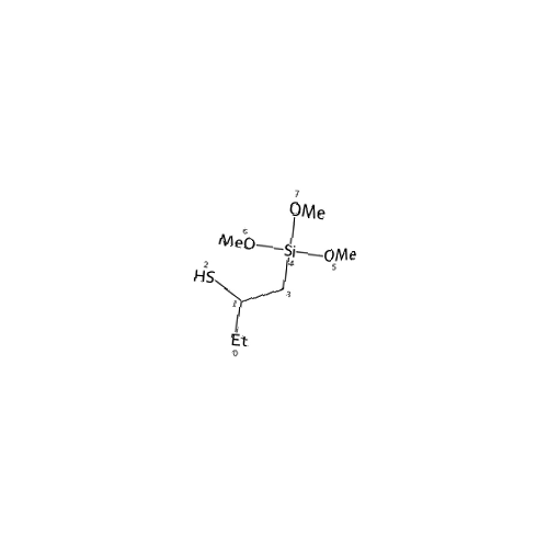 CCC(S)C[Si](OC)(OC)OC